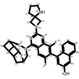 Oc1cc(-c2c(F)cc3c(N4CC5CC6C(C5)C5C(CC65)C4)nc(N4CC5(CCCN5)C4)nc3c2F)c2ccccc2c1